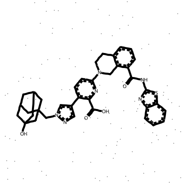 O=C(Nc1nc2ccccc2s1)c1cccc2c1CN(c1ccc(-c3cnn(CC45CC6CC(CC(O)(C6)C4)C5)c3)c(C(=O)O)n1)CC2